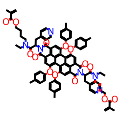 C=C(C)C(=O)OCCCCN(CC)C(=O)C(Cc1ccncc1)N1C(=O)c2cc(Oc3ccc(C)cc3)c3c4c(Oc5ccc(C)cc5)cc5c6c(cc(Oc7ccc(C)cc7)c(c7c(Oc8ccc(C)cc8)cc(c2c37)C1=O)c64)C(=O)N(C(Cc1ccncc1)C(=O)N(CC)CCCCOC(=O)C(=C)C)C5=O